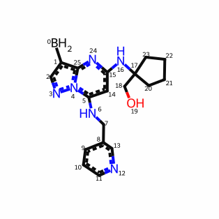 Bc1cnn2c(NCc3cccnc3)cc(NC3(CO)CCCC3)nc12